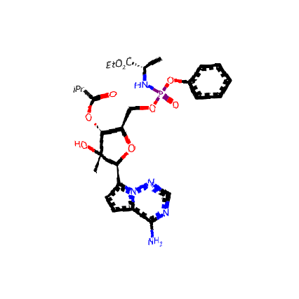 CCOC(=O)[C@H](C)NP(=O)(OC[C@H]1O[C@@H](c2ccc3c(N)ncnn23)[C@](C)(O)[C@@H]1OC(=O)C(C)C)Oc1ccccc1